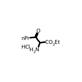 CCCC(=O)C(N)C(=O)OCC.Cl